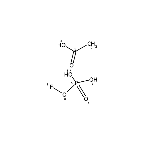 CC(=O)O.O=P(O)(O)OF